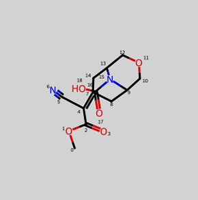 COC(=O)C(C#N)=C1CC2COCC(C1)N2C(=O)O